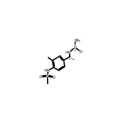 Cc1cc([C@@H](C)N[S@+]([O-])C(C)(C)C)ccc1NS(C)(=O)=O